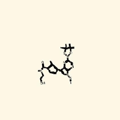 Cc1cc(-c2cn(SI)c3ncc(B4OC(C)(C)C(C)(C)O4)nc23)ccc1C(=O)N(C)CCO